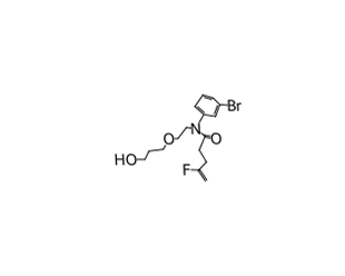 C=C(F)CCC(=O)N(CCOCCCO)c1cccc(Br)c1